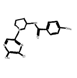 COc1ccc(C(=O)NC2CCCN(c3cnc(C#N)c(Cl)n3)C2)cc1